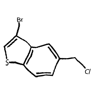 ClCc1ccc2scc(Br)c2c1